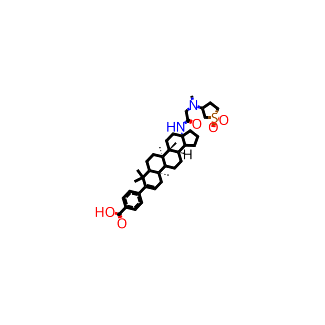 CN(CC(=O)N[C@]12CCCC1[C@H]1CCC3[C@@]4(C)CC=C(c5ccc(C(=O)O)cc5)C(C)(C)C4CC[C@@]3(C)[C@]1(C)CC2)C1CCS(=O)(=O)C1